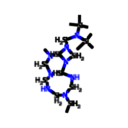 C[SiH2]N1[SiH2]N[SiH2]N2[SiH2]N(C)[SiH]3N([SiH2]N([Si](C)(C)C)[Si](C)(C)C)[SiH2]N3[SiH]2N[SiH2]1